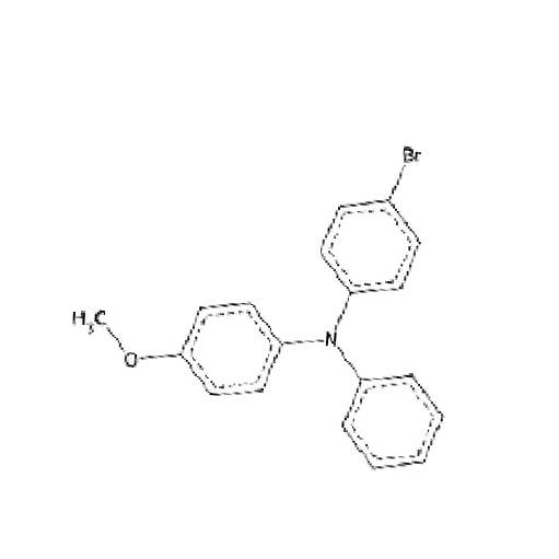 COc1ccc(N(c2ccccc2)c2ccc(Br)cc2)cc1